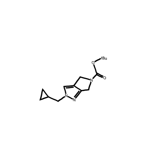 CC(C)(C)OC(=O)N1Cc2cn(CC3CC3)nc2C1